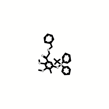 COc1c(C(=O)COCc2ccccc2)cc(O[Si](c2ccccc2)(c2ccccc2)C(C)(C)C)c(C)c1OC